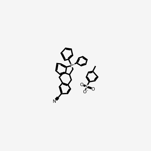 Cc1ccc(S(=O)(=O)[O-])cc1.N#Cc1ccc2c(c1)CCC(C[P+](c1ccccc1)(c1ccccc1)c1ccccc1)C2